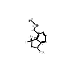 CCC1(CC)CN(C(C)(C)C)c2cccc(CNC(C)C)c21